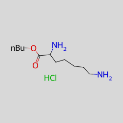 CCCCOC(=O)C(N)CCCCCN.Cl